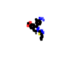 CC=Cc1nnc(N2N=C(c3ccc(N)c(C)c3)c3cc4c(cc3C[C@H]2C)OCO4)s1